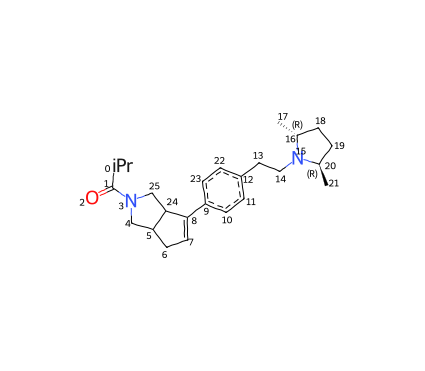 CC(C)C(=O)N1CC2CC=C(c3ccc(CCN4[C@H](C)CC[C@H]4C)cc3)C2C1